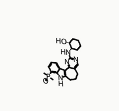 CP(C)(=O)c1cccc2c3c([nH]c12)CCCc1cnc(N[C@@H]2CCCC[C@H]2O)nc1-3